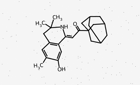 Cc1cc2c(cc1O)C(=CC(=O)C13CC4CC(CC(C4)C1)C3)NC(C)(C)C2